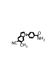 Cc1cc2c(ccn2-c2ccc(C(N)=O)cc2)cc1C#N